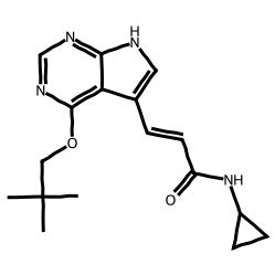 CC(C)(C)COc1ncnc2[nH]cc(/C=C/C(=O)NC3CC3)c12